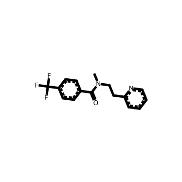 CN(CCc1ccccn1)C(=O)c1ccc(C(F)(F)F)cc1